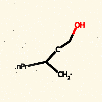 [CH2]C(CCC)CCO